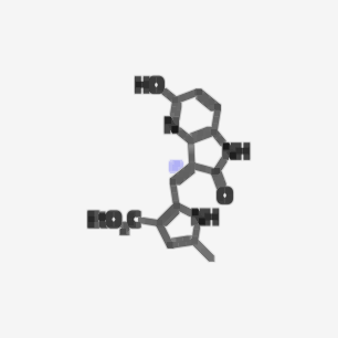 CCOC(=O)c1cc(C)[nH]c1/C=C1\C(=O)Nc2ccc(O)nc21